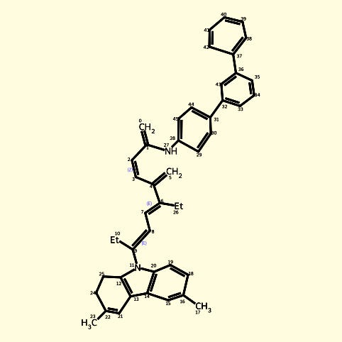 C=C(/C=C\C(=C)/C(=C/C=C(\CC)n1c2c(c3cc(C)ccc31)C=C(C)CC2)CC)Nc1ccc(-c2cccc(-c3ccccc3)c2)cc1